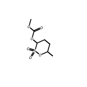 COC(=O)OC1CCC(C)OS1(=O)=O